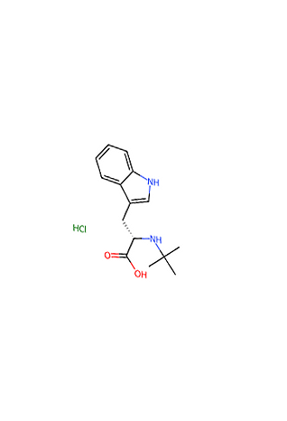 CC(C)(C)N[C@@H](Cc1c[nH]c2ccccc12)C(=O)O.Cl